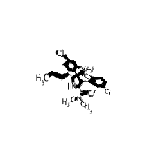 CCCC[C@H]1N[C@@H](C(=O)N(C)C)[C@H](c2cccc(Cl)c2)[C@@]12C(=O)Nc1cc(Cl)ccc12